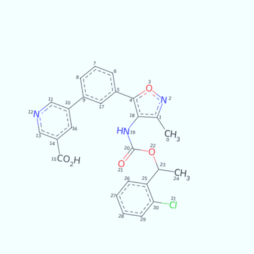 Cc1noc(-c2cccc(-c3cncc(C(=O)O)c3)c2)c1NC(=O)OC(C)c1ccccc1Cl